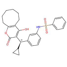 O=c1oc2c(c(O)c1[C@@H](c1cccc(NS(=O)(=O)c3ccccc3)c1)C1CC1)CCCCCC2